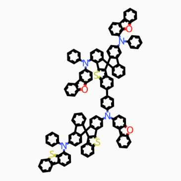 c1ccc(N(c2ccc3oc4ccccc4c3c2)c2cccc3c2-c2sc4cc(-c5ccc(N(c6ccc7c(c6)-c6sc8ccccc8c6C76c7ccccc7-c7cc(N(c8ccccc8)c8cccc9c8sc8ccccc89)ccc76)c6ccc7oc8ccccc8c7c6)cc5)ccc4c2C32c3ccccc3-c3cc(N(c4ccccc4)c4cccc5c4oc4ccccc45)ccc32)cc1